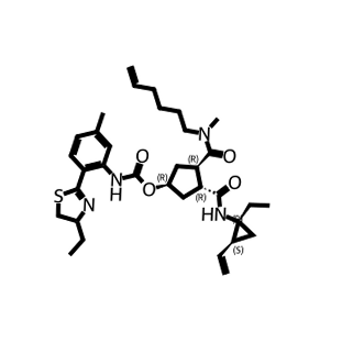 C=CCCCCN(C)C(=O)[C@@H]1C[C@H](OC(=O)Nc2cc(C)ccc2C2=NC(CC)CS2)C[C@H]1C(=O)N[C@]1(CC)C[C@H]1C=C